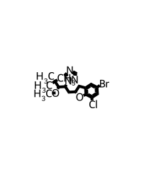 COC(C(CC1Cc2cc(Br)cc(Cl)c2O1)n1cncn1)C(C)(C)C